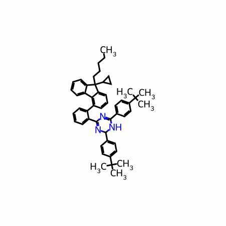 CCCCCC1(C2CC2)c2ccccc2-c2c(-c3ccccc3C3=NC(c4ccc(C(C)(C)C)cc4)NC(c4ccc(C(C)(C)C)cc4)=N3)cccc21